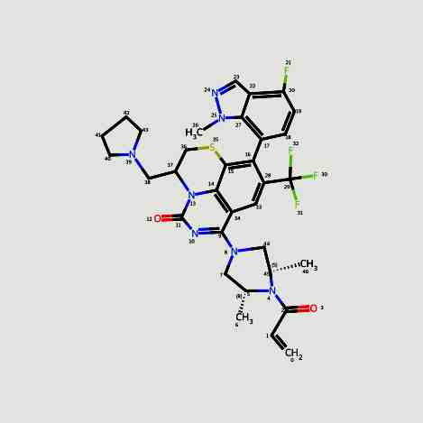 C=CC(=O)N1[C@H](C)CN(c2nc(=O)n3c4c(c(-c5ccc(F)c6cnn(C)c56)c(C(F)(F)F)cc24)SCC3CN2CCCC2)C[C@@H]1C